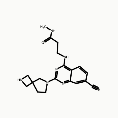 CNC(=O)CCNc1nc(N2CCC3(CNC3)C2)nc2cc(C#N)ccc12